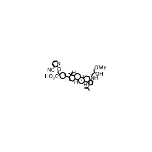 C=C(C)[C@@H]1CC[C@]2(NCC(O)COC)CC[C@]3(C)[C@H](CC[C@@H]4[C@@]5(C)CC=C(C6=CC[C@](COc7ncccc7C#N)(C(=O)O)CC6)C(C)(C)[C@@H]5CC[C@]43C)[C@@H]12